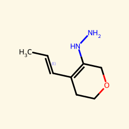 C/C=C/C1=C(NN)COCC1